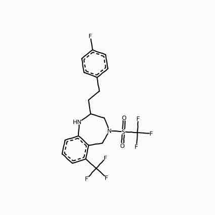 O=S(=O)(N1Cc2c(cccc2C(F)(F)F)NC(CCc2ccc(F)cc2)C1)C(F)(F)F